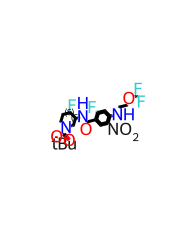 CC(C)(C)OC(=O)N1CC[C@H](F)[C@@H](NC(=O)c2cc([N+](=O)[O-])c(NCCOC(F)F)cc2F)C1